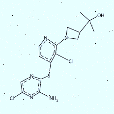 CC(C)(O)C1CN(c2nccc(Sc3ncc(Cl)nc3N)c2Cl)C1